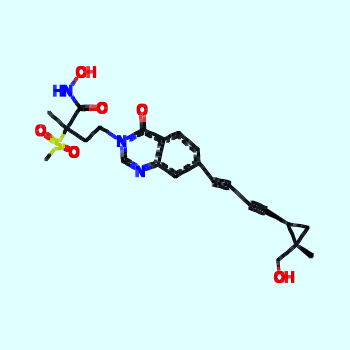 CC(CCn1cnc2cc(C#CC#C[C@H]3C[C@]3(C)CO)ccc2c1=O)(C(=O)NO)S(C)(=O)=O